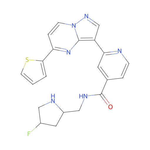 O=C(NCC1CC(F)CN1)c1ccnc(-c2cnn3ccc(-c4cccs4)nc23)c1